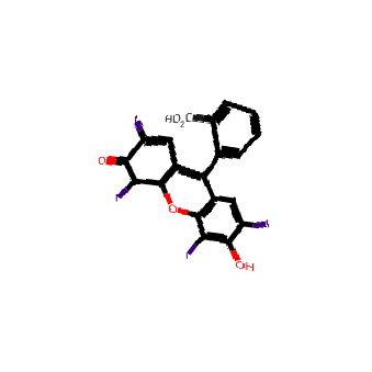 O=C(O)c1ccccc1C1=C2C=C(I)C(=O)C(I)C2Oc2c1cc(I)c(O)c2I